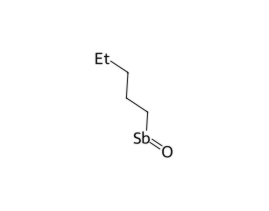 CCCC[CH2][Sb]=[O]